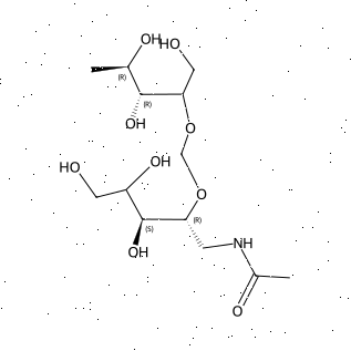 CC(=O)NC[C@@H](OCOC(CO)[C@H](O)[C@@H](C)O)[C@@H](O)C(O)CO